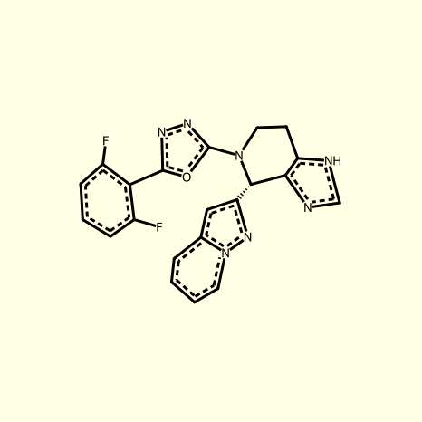 Fc1cccc(F)c1-c1nnc(N2CCc3[nH]cnc3[C@@H]2c2cc3ccccn3n2)o1